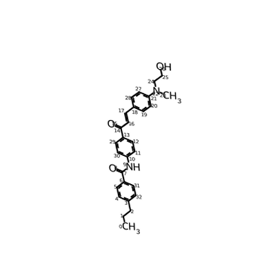 CCCc1ccc(C(=O)Nc2ccc(C(=O)/C=C/c3ccc(N(C)CCO)cc3)cc2)cc1